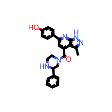 Cc1n[nH]c2nc(-c3ccc(O)cc3)cc(C(=O)N3CCNC(c4ccccc4)C3)c12